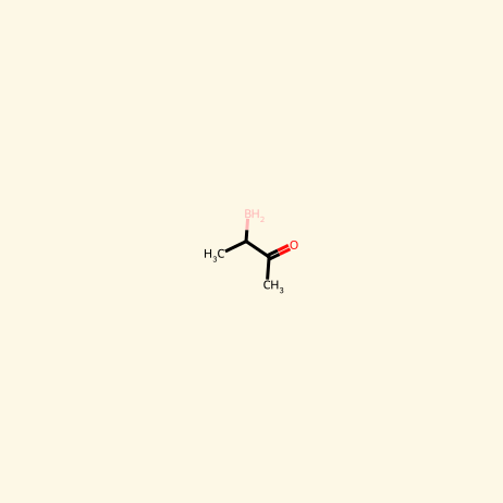 BC(C)C(C)=O